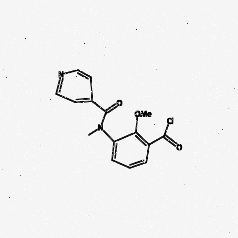 COc1c(C(=O)Cl)cccc1N(C)C(=O)c1ccncc1